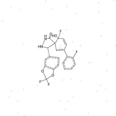 O=C1NNC(c2ccc3c(c2)OC(F)(F)O3)C12C=C(c1ccccc1F)C=CC2(O)F